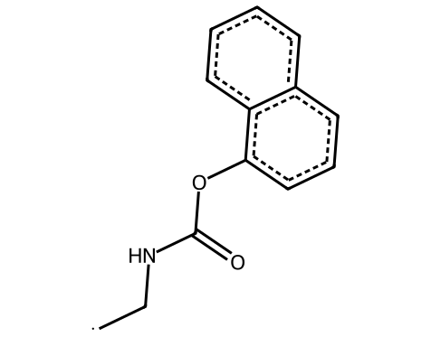 [CH2]CNC(=O)Oc1cccc2ccccc12